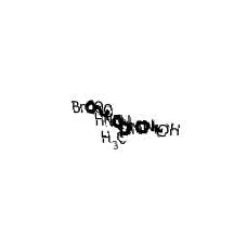 Cc1cc(N2CCN(CCO)CC2)nc2ccc(NC(=O)COc3ccc(Br)cc3)cc12